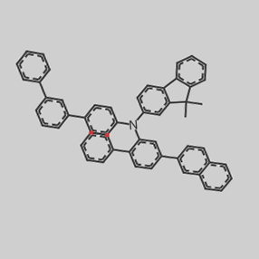 CC1(C)c2ccccc2-c2ccc(N(c3ccc(-c4cccc(-c5ccccc5)c4)cc3)c3cc(-c4ccc5ccccc5c4)ccc3-c3ccccc3)cc21